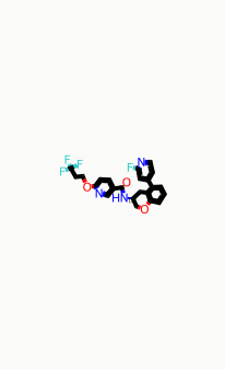 O=C(N[C@@H]1COc2cccc(-c3ccnc(F)c3)c2C1)c1ccc(OCCC(F)(F)F)nc1